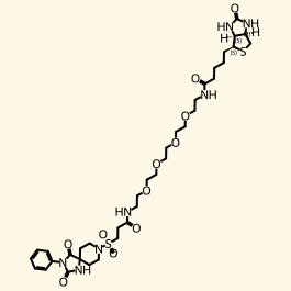 O=C(CCCC[C@@H]1SC[C@@H]2NC(=O)N[C@@H]21)NCCOCCOCCOCCOCCNC(=O)CCS(=O)(=O)N1CCC2(CC1)NC(=O)N(c1ccccc1)C2=O